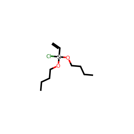 C=C[Si](Cl)(OCCCC)OCCCC